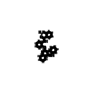 Nc1ccccc1C(=O)Nc1ccccc1Oc1nc2ccccc2c2[nH]c3ccccc3c12